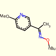 CCCCO/N=C(\C)c1ccc(OC)nc1